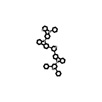 c1ccc(-c2cc(-n3c4ccccc4c4cc(-c5cncc(-c6ccc7c8ccccc8n(-c8ccc9c(c8)c8ncccc8n9-c8ccccc8)c7c6)c5)ccc43)cc(-c3ccccc3)n2)cc1